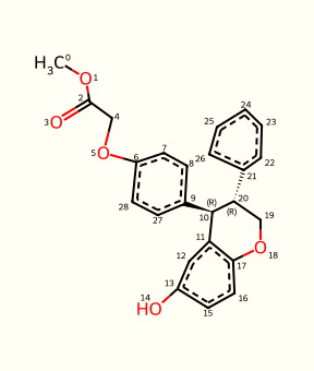 COC(=O)COc1ccc([C@@H]2c3cc(O)ccc3OC[C@H]2c2ccccc2)cc1